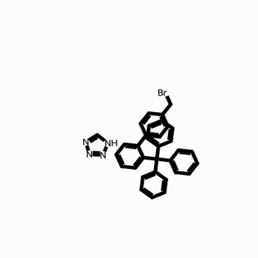 BrCc1ccc(-c2ccccc2C(c2ccccc2)(c2ccccc2)c2ccccc2)cc1.c1nnn[nH]1